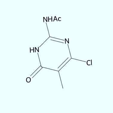 CC(=O)Nc1nc(Cl)c(C)c(=O)[nH]1